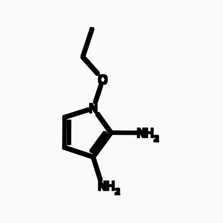 CCOn1ccc(N)c1N